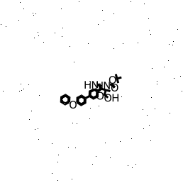 CC(C)(C)OC(=O)NC(C)(C(=O)O)c1c[nH]c2cc(-c3ccc(Oc4ccccc4)cc3)ccc12